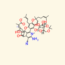 COC(=O)/C(C)=C\CC1(O)C(=O)C2CC(C(C)C)C13Oc1c(CC=C(C)C)c4c(c(O[C@@H]5O[C@@H]6COC(C)(C)O[C@H]6[C@H](O)[C@H]5O)c1C1=C3C2C(C#N)=C(N)N1C)C=CC(C)(CCC=C(C)C)O4